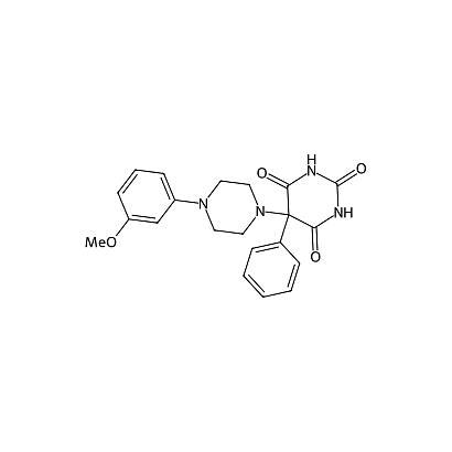 COc1cccc(N2CCN(C3(c4ccccc4)C(=O)NC(=O)NC3=O)CC2)c1